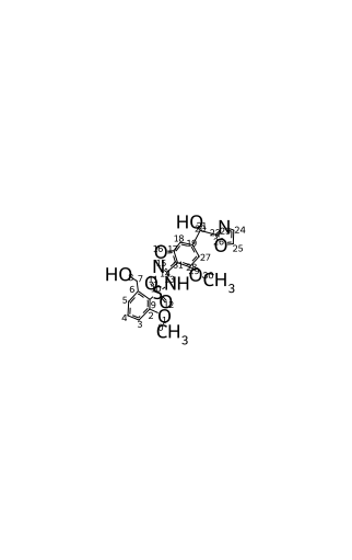 COc1cccc(CO)c1S(=O)(=O)Nc1noc2cc(C(O)c3ncco3)cc(OC)c12